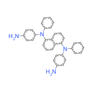 Nc1ccc(N(c2ccccc2)c2cccc3c(N(c4ccccc4)c4ccc(N)cc4)cccc23)cc1